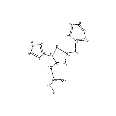 COC(=O)OC1CN(Cc2ccccc2)CC1c1ccsc1